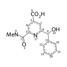 CNC(=O)c1cc(C(=O)O)cc(C(O)c2ccccc2)n1